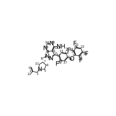 C=C(C)CN1CC[C@@H](Cn2nc(-c3ccc(Oc4c(F)c(F)cc(F)c4F)cc3F)c3c(N)ncnc32)C1